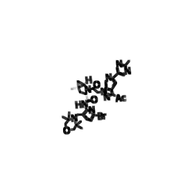 CC(=O)c1nn(CC(=O)N2[C@H](C(=O)Nc3nc(Br)ccc3CN3C(C)(C)COCC3(C)C)C[C@@]3(C)C[C@@H]23)c2cnc(-c3cnc(C)nc3)cc12